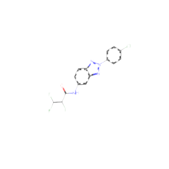 O=C(Nc1ccc2nn(-c3ccc(Cl)cc3)nc2c1)C(F)C(F)F